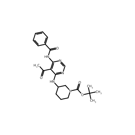 CC(=O)c1c(NC(=O)c2ccccc2)ncnc1NC1CCCN(C(=O)OC(C)(C)C)C1